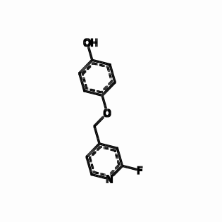 Oc1ccc(OCc2ccnc(F)c2)cc1